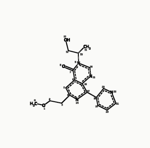 COCCc1cc2c(=O)n(C(C)CO)cnc2c(-c2cccnc2)n1